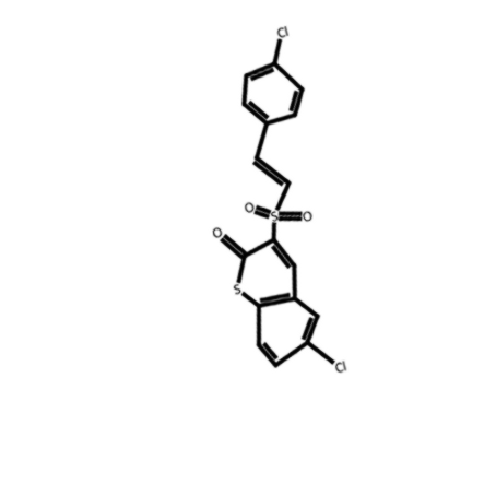 O=c1sc2ccc(Cl)cc2cc1S(=O)(=O)/C=C/c1ccc(Cl)cc1